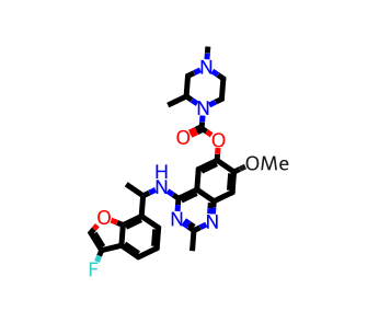 COc1cc2nc(C)nc(NC(C)c3cccc4c(F)coc34)c2cc1OC(=O)N1CCN(C)CC1C